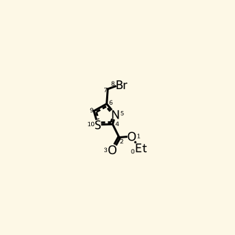 CCOC(=O)c1nc(CBr)cs1